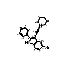 Brc1ccc2[nH]c(-c3ccccc3)c(C#CN3CCCCC3)c2c1